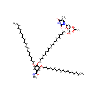 CC(=O)O[C@H]1C[C@H](n2cc(C)c(=O)[nH]c2=O)O[C@@H]1CO.CCCCCCCCCCCCCCCCCCOc1cc(C(=O)NC)cc(OCCCCCCCCCCCCCCCCCC)c1OCCCCCCCCCCCCCCCCCC